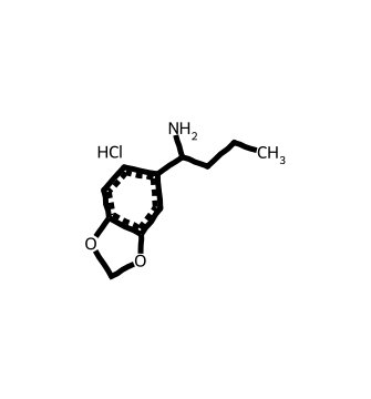 CCCC(N)c1ccc2c(c1)OCO2.Cl